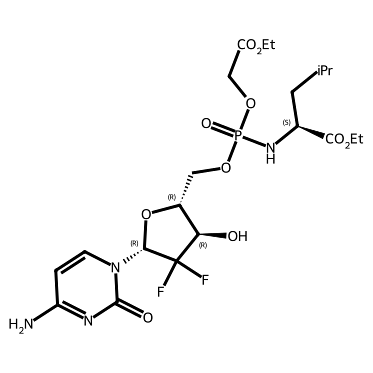 CCOC(=O)COP(=O)(N[C@@H](CC(C)C)C(=O)OCC)OC[C@H]1O[C@@H](n2ccc(N)nc2=O)C(F)(F)[C@@H]1O